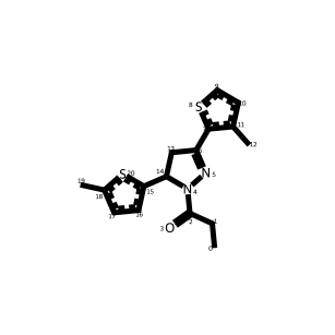 CCC(=O)N1N=C(c2sccc2C)CC1c1ccc(C)s1